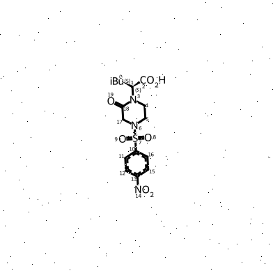 CC[C@H](C)[C@@H](C(=O)O)N1CCN(S(=O)(=O)c2ccc([N+](=O)[O-])cc2)CC1=O